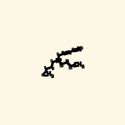 CCCCN(CC#CC#N)CCCC